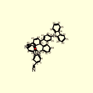 N#Cc1ccc2c(c1)c1ccccc1n2-c1ccccc1-c1c(-c2ccc(-n3c4ccccc4c4ccccc43)cc2)ccc(C#N)c1C#N